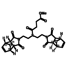 COC(=O)CCC(=O)N(CCN1C(=O)[C@@H]2[C@H](C1=O)[C@@H]1C=C[C@H]2O1)CCN1C(=O)C2[C@H]3C=C[C@H](O3)[C@H]2C1=O